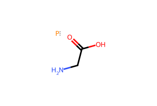 NCC(=O)O.[P]